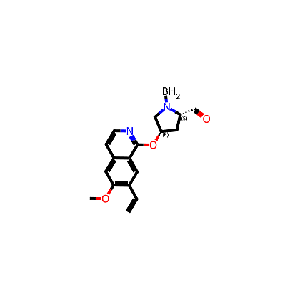 BN1C[C@H](Oc2nccc3cc(OC)c(C=C)cc23)C[C@H]1C=O